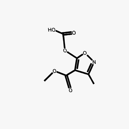 COC(=O)c1c(C)noc1OC(=O)O